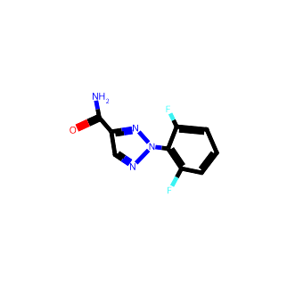 NC(=O)c1cnn(-c2c(F)cccc2F)n1